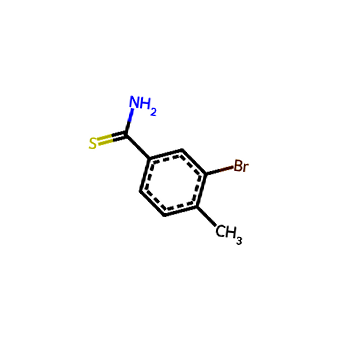 Cc1ccc(C(N)=S)cc1Br